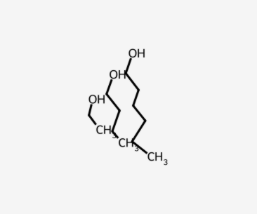 CCCCCCO.CCCCO.CCO